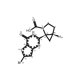 O=C(O)N1CC[C@@H]2C[C@@]21c1nc2cc(Br)sc2c(=O)[nH]1